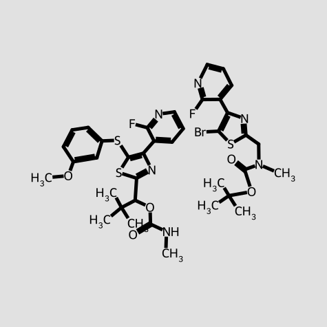 CN(Cc1nc(-c2cccnc2F)c(Br)s1)C(=O)OC(C)(C)C.CNC(=O)OC(c1nc(-c2cccnc2F)c(Sc2cccc(OC)c2)s1)C(C)(C)C